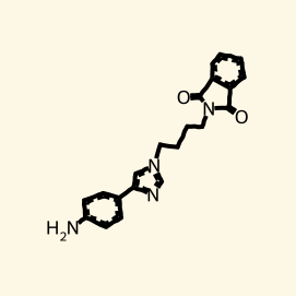 Nc1ccc(-c2cn(CCCCN3C(=O)c4ccccc4C3=O)cn2)cc1